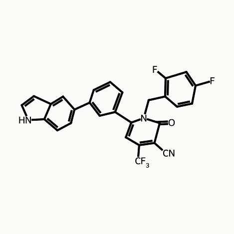 N#Cc1c(C(F)(F)F)cc(-c2cccc(-c3ccc4[nH]ccc4c3)c2)n(Cc2ccc(F)cc2F)c1=O